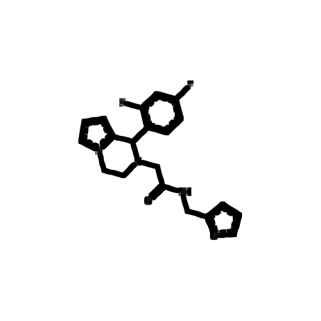 O=C(CN1CCn2cccc2C1c1ccc(F)cc1F)NCc1ccco1